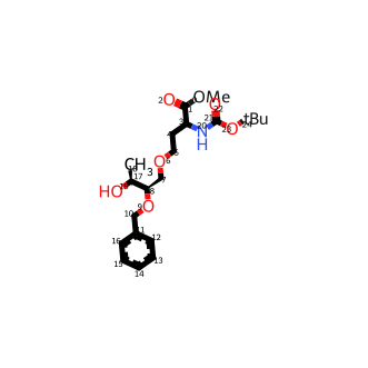 COC(=O)C(CCOC[C@@H](OCc1ccccc1)[C@H](C)O)NC(=O)OC(C)(C)C